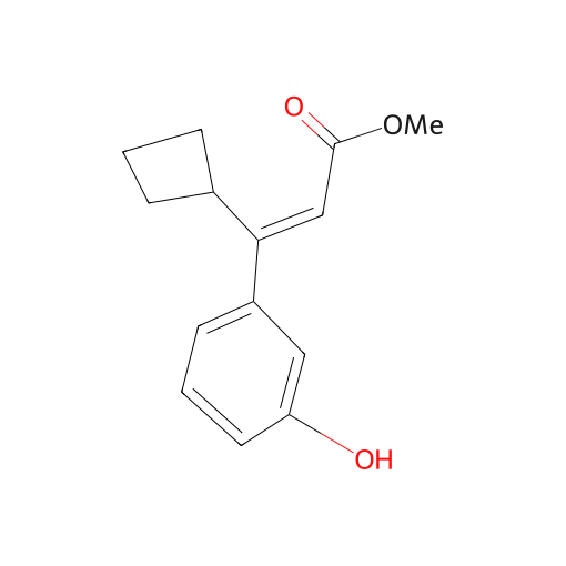 COC(=O)/C=C(/c1cccc(O)c1)C1CCC1